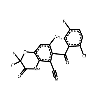 N#Cc1c2c(cc(N)c1C(=O)c1cc(F)ccc1Cl)OC(F)(F)C(=O)N2